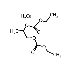 [CH2]C(COC(=O)OCC)OC(=O)OCC.[CaH2]